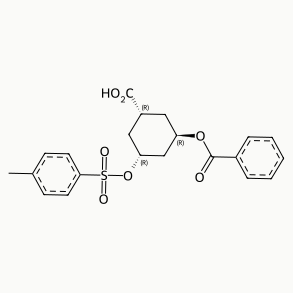 Cc1ccc(S(=O)(=O)O[C@H]2C[C@H](OC(=O)c3ccccc3)C[C@@H](C(=O)O)C2)cc1